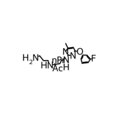 CCCC(CCNc1nc(C)cc(Oc2cccc(F)c2)n1)(NCCCN)C(C)=O